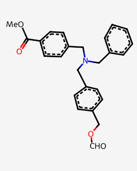 COC(=O)c1ccc(CN(Cc2ccccc2)Cc2ccc(COC=O)cc2)cc1